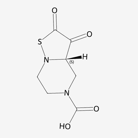 O=C1SN2CCN(C(=O)O)C[C@H]2C1=O